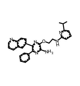 CC(C)c1cccc(NCCOc2nc(-c3ccc4ncccc4c3)c(-c3ccccc3)nc2N)n1